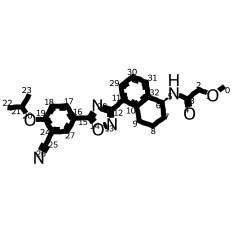 COCC(=O)N[C@@H]1CCCc2c(-c3noc(-c4ccc(OC(C)C)c(C#N)c4)n3)cccc21